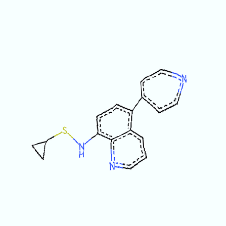 c1cnc2c(NSC3CC3)ccc(-c3ccncc3)c2c1